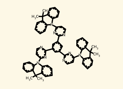 CC1(C)c2ccccc2N(c2ccnc(-c3cc(-c4nccc(N5c6ccccc6C(C)(C)c6ccccc65)n4)cc(-c4nccc(N5c6ccccc6C(C)(C)c6ccccc65)n4)c3)n2)c2ccccc21